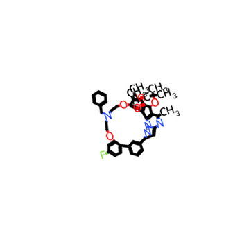 CCOC(=O)[C@@H](OC(C)(C)C)c1c(C)nc2cc3nn2c1-c1ccc(C)c(c1)OCCN(Cc1ccccc1)CCOc1cc(F)ccc1-c1cccc-3c1